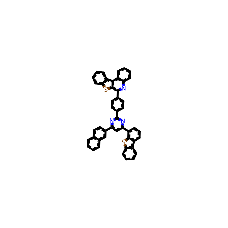 c1ccc2cc(-c3cc(-c4cccc5c4sc4ccccc45)nc(-c4ccc(-c5nc6ccccc6c6c5sc5ccccc56)cc4)n3)ccc2c1